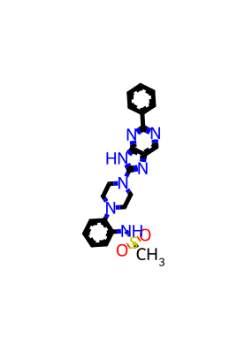 CS(=O)(=O)Nc1ccccc1N1CCN(c2nc3cnc(-c4ccccc4)nc3[nH]2)CC1